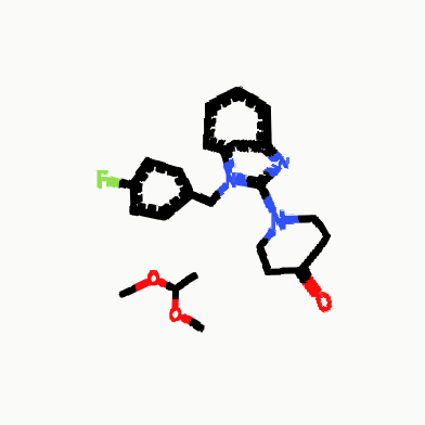 COC(C)OC.O=C1CCN(c2nc3ccccc3n2Cc2ccc(F)cc2)CC1